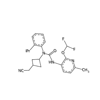 Cc1ccc(NC(=O)N(c2ccccc2C(C)C)C2CC(CC#N)C2)c(OC(F)F)n1